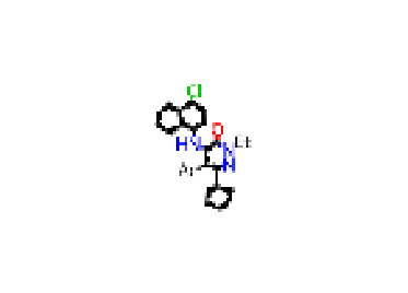 CCn1nc(-c2ccccc2)c(C(C)=O)c(Nc2ccc(Cl)c3ccccc23)c1=O